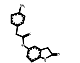 Nc1ccc(CC(=O)Nc2ccc3c(c2)CC(=O)N3)cc1